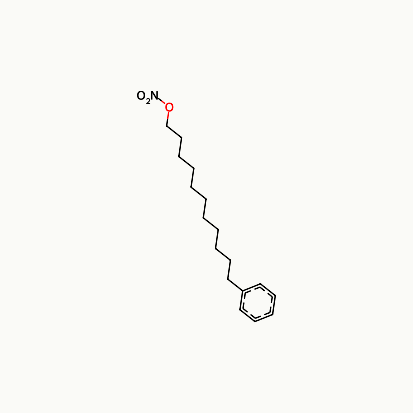 O=[N+]([O-])OCCCCCCCCCCCc1ccccc1